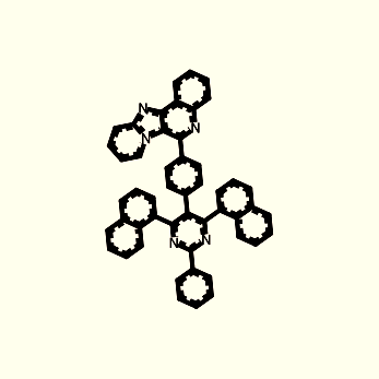 c1ccc(-c2nc(-c3cccc4ccccc34)c(-c3ccc(-c4nc5ccccc5c5nc6ccccn6c45)cc3)c(-c3cccc4ccccc34)n2)cc1